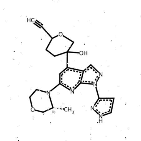 C#CC1CCC(O)(c2cc(N3CCOC[C@H]3C)nc3c2cnn3-c2cc[nH]n2)CO1